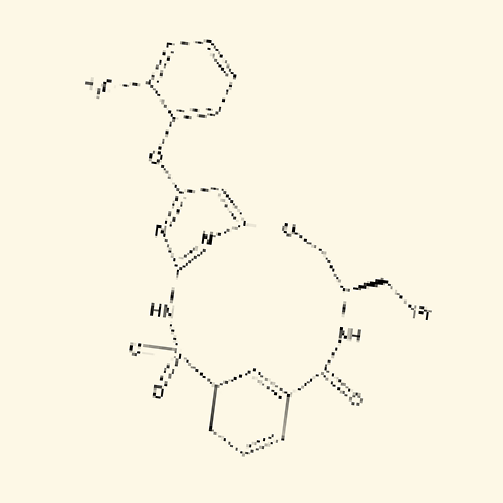 Cc1ccccc1Oc1cc2nc(n1)NS(=O)(=O)c1cccc(c1)C(=O)N[C@H](CC(C)C)CO2